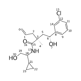 C=CC[C@@](C)(C[C@@H](O)c1cccc(Cl)c1)C(=O)NC(CO)C1CC1